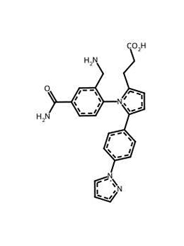 NCc1cc(C(N)=O)ccc1-n1c(CCC(=O)O)ccc1-c1ccc(-n2cccn2)cc1